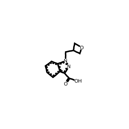 O=C(O)c1nn(CC2COC2)c2ccccc12